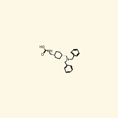 O=C(O)NC[C@H]1CC[C@H](CN(Cc2ccccc2)Cc2ccccc2)CC1